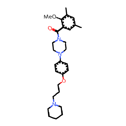 COc1c(C)cc(C)cc1C(=O)N1CCN(c2ccc(OCCCN3CCCCC3)cc2)CC1